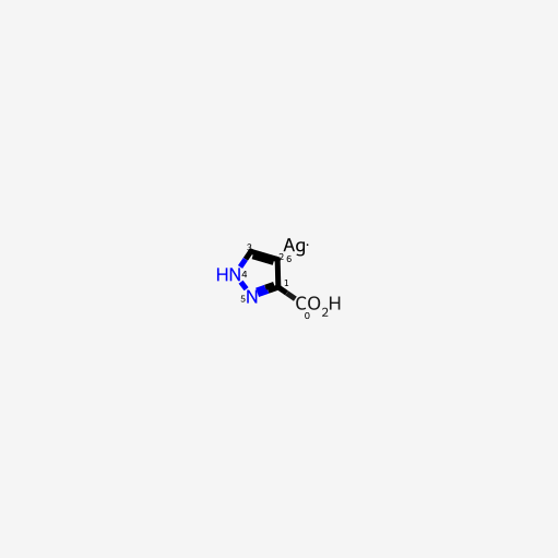 O=C(O)c1cc[nH]n1.[Ag]